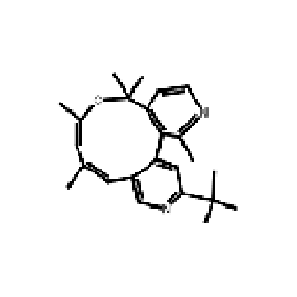 CC1=C/c2cnc(C(C)(C)C)cc2-c2c(ccnc2C)C(C)(C)O/C(C)=C\1